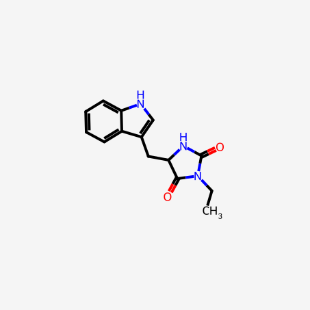 CCN1C(=O)NC(Cc2c[nH]c3ccccc23)C1=O